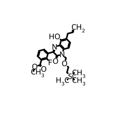 C=CCc1ccc2c(nc(-c3cccc(C(=O)OC)c3F)c(=O)n2COCC[Si](C)(C)C)c1O